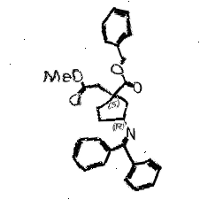 COC(=O)C[C@]1(C(=O)OCc2ccccc2)CC[C@@H](N=C(c2ccccc2)c2ccccc2)C1